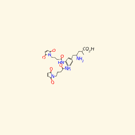 CC(C[C@@H](N)Cc1ccc(NC(=O)CCCN2C(=O)C=CC2=O)c(NC(=O)CCCN2C(=O)C=CC2=O)c1)C(=O)O